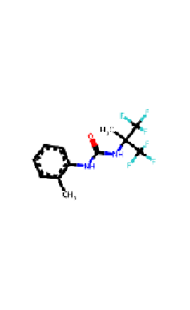 Cc1ccccc1NC(=O)NC(C)(C(F)(F)F)C(F)(F)F